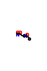 O=C(CCCC1CCN(C(=O)CCc2ccccc2)CC1)C1=NCCO1